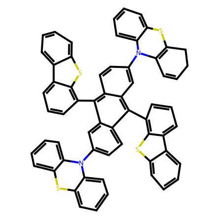 C1=CC2=C(CC1)Sc1ccccc1N2c1ccc2c(-c3cccc4c3sc3ccccc34)c3cc(N4c5ccccc5Sc5ccccc54)ccc3c(-c3cccc4c3sc3ccccc34)c2c1